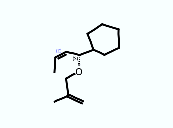 C=C(C)CO[C@H](/C=C\C)C1CCCCC1